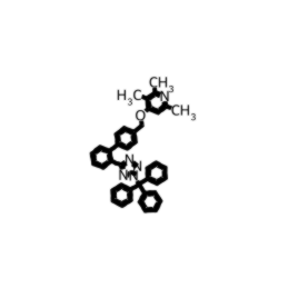 Cc1cc(OCc2ccc(-c3ccccc3-c3nnn(C(c4ccccc4)(c4ccccc4)c4ccccc4)n3)cc2)c(C)c(C)n1